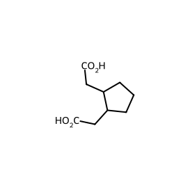 O=C(O)CC1CCCC1CC(=O)O